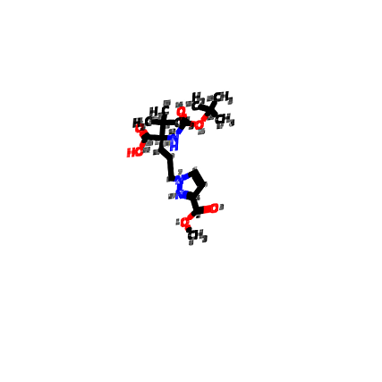 COC(=O)c1ccn(CCC[C@@](NC(=O)OC(C)(C)C)(C(=O)O)C(C)(C)C)n1